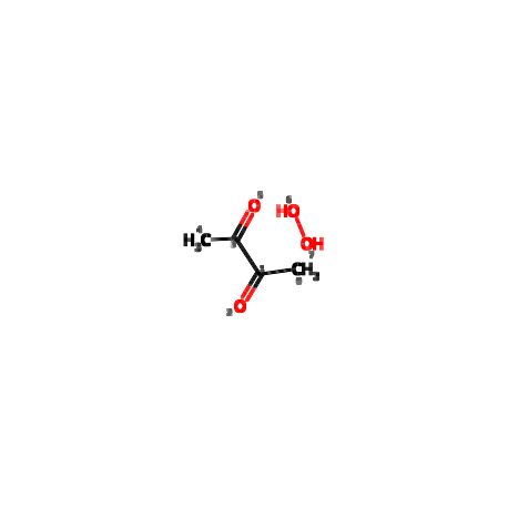 CC(=O)C(C)=O.OO